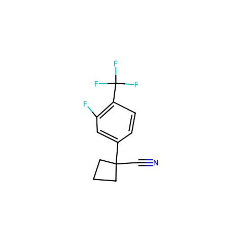 N#CC1(c2ccc(C(F)(F)F)c(F)c2)CCC1